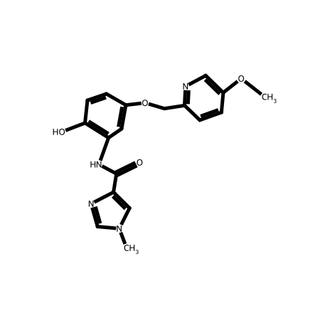 COc1ccc(COc2ccc(O)c(NC(=O)c3cn(C)cn3)c2)nc1